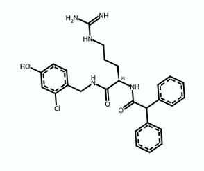 N=C(N)NCCC[C@@H](NC(=O)C(c1ccccc1)c1ccccc1)C(=O)NCc1ccc(O)cc1Cl